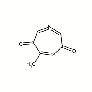 CC1=CC(=O)C=[N+]=CC1=O